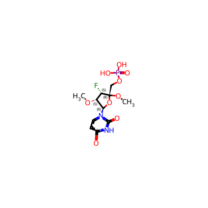 CO[C@H]1[C@H](n2ccc(=O)[nH]c2=O)O[C@@](COP(=O)(O)O)(OC)[C@H]1F